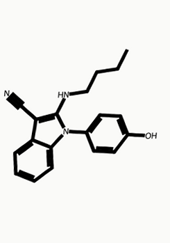 CCCCNc1c(C#N)c2ccccc2n1-c1ccc(O)cc1